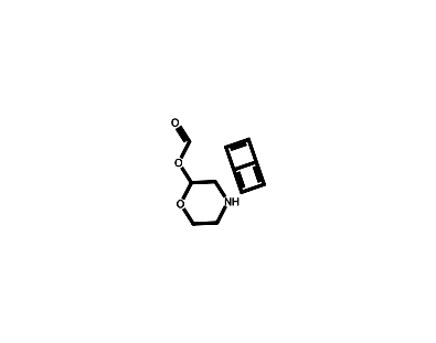 O=COC1CNCCO1.c1cc2ccc1-2